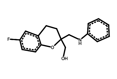 OCC1(CNc2ccccc2)CCc2cc(F)ccc2O1